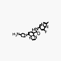 Cc1cn2cc(NC(=O)c3ccc(N4CCC(N)C4)c4nccnc34)cc(F)c2n1